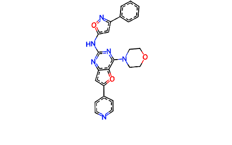 c1ccc(-c2cc(Nc3nc(N4CCOCC4)c4oc(-c5ccncc5)cc4n3)on2)cc1